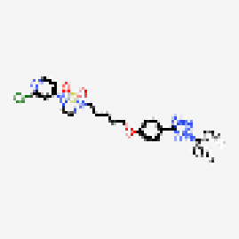 CC(C)n1nnc(-c2ccc(OCCCCCN3CCN(c4ccnc(Cl)c4)S3(=O)=O)cc2)n1